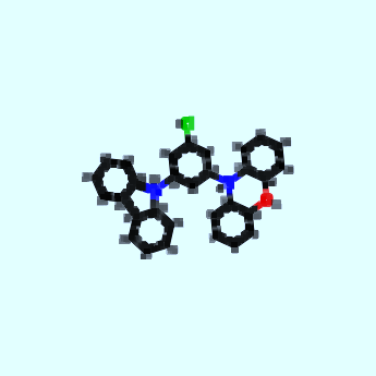 Clc1cc(N2c3ccccc3Oc3ccccc32)cc(-n2c3ccccc3c3ccccc32)c1